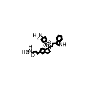 Nc1ccc(S(=O)(=O)N(CCc2c[nH]c3ccccc23)C2CCc3cc(/C=C/C(=O)NO)ccc32)cc1